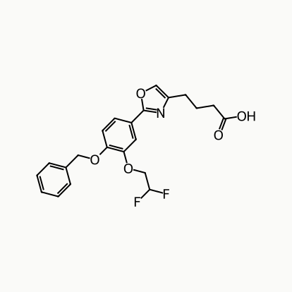 O=C(O)CCCc1coc(-c2ccc(OCc3ccccc3)c(OCC(F)F)c2)n1